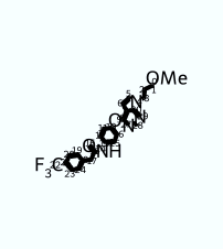 COCCCn1ccc2c(Oc3ccc(NC(=O)Cc4ccc(C(F)(F)F)cc4)cc3)ncnc21